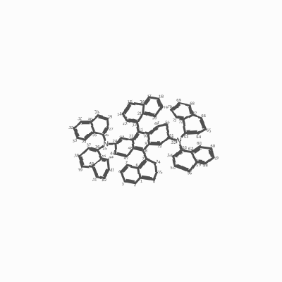 C1=c2ccccc2=C(c2c3c(c(-c4cccc5ccccc45)c4cc(N(c5cccc6ccccc56)c5cccc6ccccc56)ccc24)=CCC(N(c2cccc4ccccc24)c2cccc4ccccc24)C=3)CC1